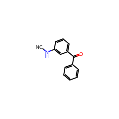 N#CNc1cccc(C(=O)c2ccccc2)c1